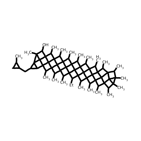 CCC1C23C(C)C45C(C)C67C(C)C89C(C)C%10(C)C%11(C)C(C)C%12(C(C)C%13(C(C)C%14(C(C)C%15(C(C)C%16%17C(C)C%18%19C(C)C%20%21C(C)C%22%23C(O)C%24(C)C%25%26C(CC%27CC%27C)C%25C%25(C(C)C%27(C(C)C%28(C(C)C1(C%18%28%16)C%152%17)C%20%27%19)C%22%25%21)C%24%26%23)C%1443)C%1365)C%1287)C%11%109